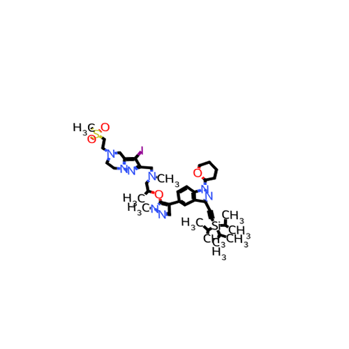 CC(CN(C)Cc1nn2c(c1I)CN(CCS(C)(=O)=O)CC2)Oc1c(-c2ccc3c(c2)c(C#C[Si](C(C)C)(C(C)C)C(C)C)nn3C2CCCCO2)cnn1C